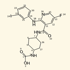 O=C(O)NC1CCC(NC(=O)c2cc(F)cnc2Nc2cccc(I)c2)CC1